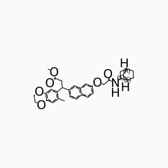 COC(=O)CC(c1ccc2ccc(OCC(=O)N[C@H]3C[C@@H]4CC[C@H]3C4)cc2c1)c1cc2c(cc1C)OCCO2